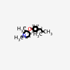 CC(C)Cc1ccc(OC2CCCN(C)CC2C)cc1